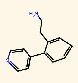 NCCc1ccccc1-c1ccncc1